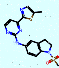 Cc1cnc(-c2ccnc(Nc3ccc4c(c3)CCN4S(C)(=O)=O)n2)s1